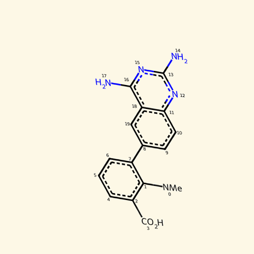 CNc1c(C(=O)O)cccc1-c1ccc2nc(N)nc(N)c2c1